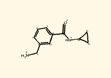 NCc1cccc(C(=O)NC2CC2)c1